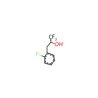 O[C@@H](Cc1ccccc1F)C(F)(F)F